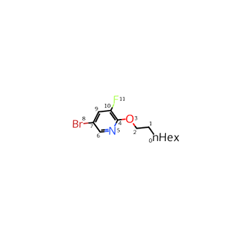 CCCCCCCCOc1ncc(Br)cc1F